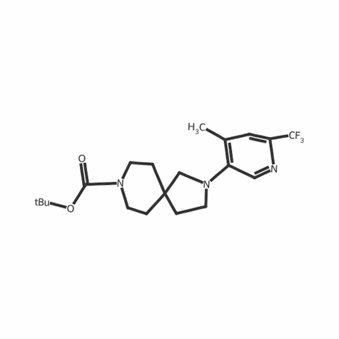 Cc1cc(C(F)(F)F)ncc1N1CCC2(CCN(C(=O)OC(C)(C)C)CC2)C1